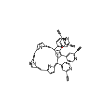 C#Cc1cc(C2=C3C=CC(=N3)C=c3ccc([nH]3)=CC3=NC(=CC4(c5ccnc(C#C)c5)N=C2C(c2ccnc(C#C)c2)=C4c2ccnc(C#C)c2)C=C3)ccn1